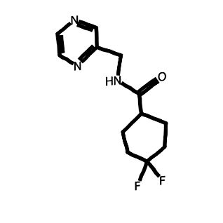 O=C(NCc1cnccn1)C1CCC(F)(F)CC1